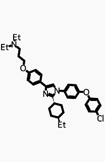 CCN(CC)CCCOc1ccc(-c2cn(-c3ccc(Oc4ccc(Cl)cc4)cc3)c([C@H]3CC[C@H](CC)CC3)n2)cc1